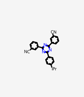 CC(C)c1ccc(-c2nc(-c3cccc(C#N)c3)nc(-c3cccc(C#N)c3)n2)cc1